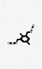 Cc1cc(CN=C=O)c(C)c(CN=C=O)c1